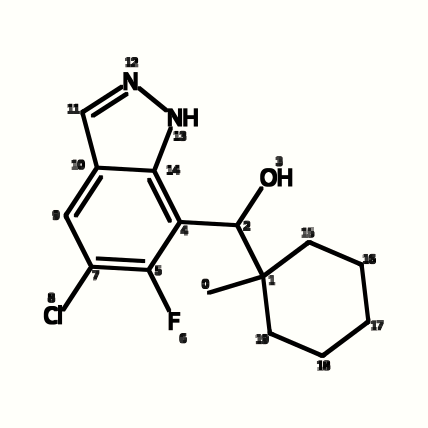 CC1(C(O)c2c(F)c(Cl)cc3cn[nH]c23)CCCCC1